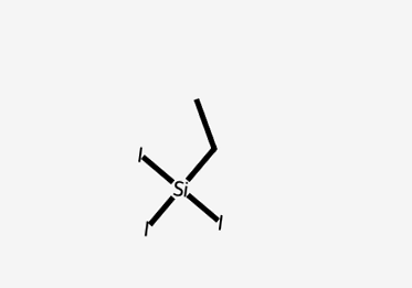 CC[Si](I)(I)I